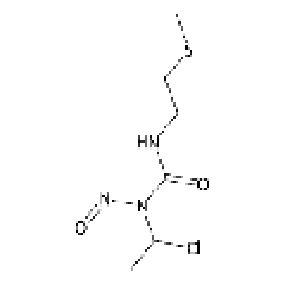 CSCCNC(=O)N(N=O)C(C)Cl